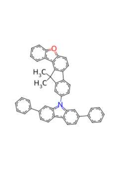 CC1(C)c2cc(-n3c4cc(-c5ccccc5)ccc4c4ccc(-c5ccccc5)cc43)ccc2-c2ccc3oc4ccccc4c3c21